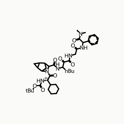 CCCCC(NC(=O)C1C2CC(C3CC32)N1C(=O)[C@H](NC(=O)OC(C)(C)C)C1CCCCC1)C(=O)C(=O)NCC(=O)NC(C(=O)N(C)C)c1ccccc1